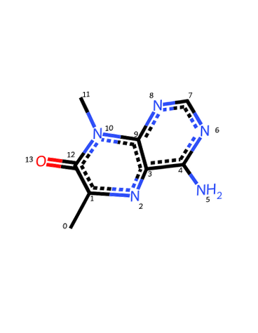 Cc1nc2c(N)ncnc2n(C)c1=O